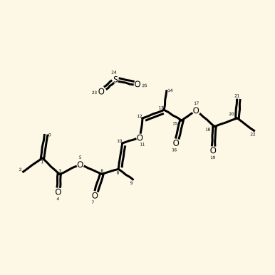 C=C(C)C(=O)OC(=O)C(C)=COC=C(C)C(=O)OC(=O)C(=C)C.O=S=O